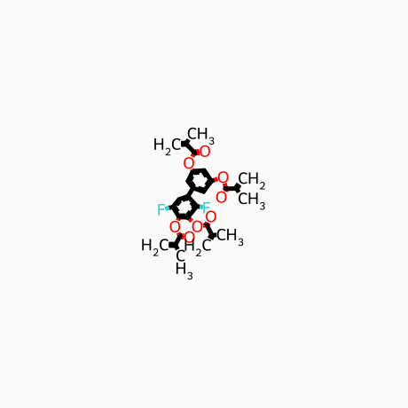 C=C(C)C(=O)Oc1cc(OC(=O)C(=C)C)cc(-c2cc(F)c(OC(=O)C(=C)C)c(OC(=O)C(=C)C)c2F)c1